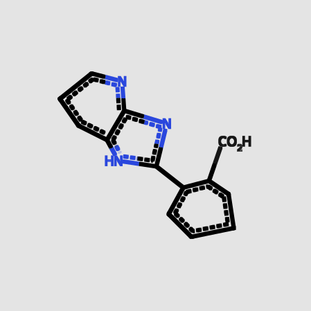 O=C(O)c1ccccc1-c1nc2ncccc2[nH]1